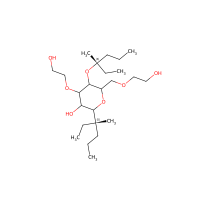 CCC[C@](C)(CC)OC1C(COCCO)OC([C@@](C)(CC)CCC)C(O)C1OCCO